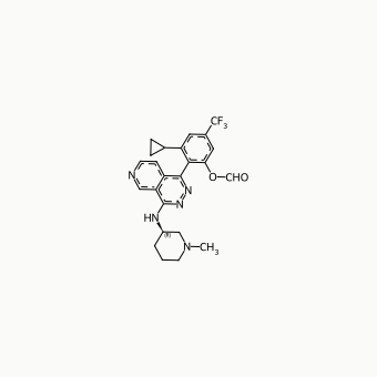 CN1CCC[C@@H](Nc2nnc(-c3c(OC=O)cc(C(F)(F)F)cc3C3CC3)c3ccncc23)C1